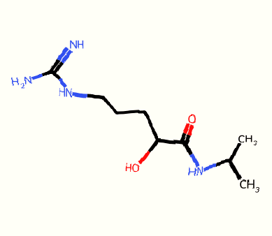 CC(C)NC(=O)C(O)CCCNC(=N)N